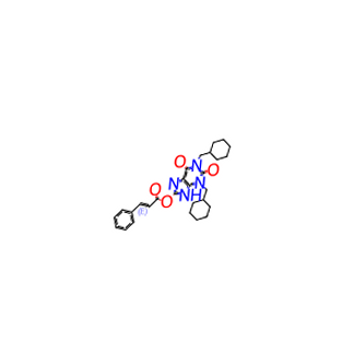 O=C(/C=C/c1ccccc1)Oc1nc2c(=O)n(CC3CCCCC3)c(=O)n(CC3CCCCC3)c2[nH]1